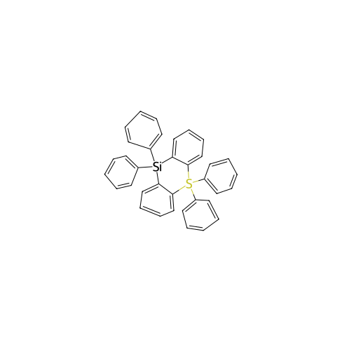 c1ccc([Si]2(c3ccccc3)c3ccccc3S(c3ccccc3)(c3ccccc3)c3ccccc32)cc1